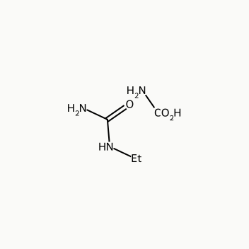 CCNC(N)=O.NC(=O)O